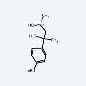 CCCCc1ccc(C(C)(C)C[C@@H](C)O)cc1